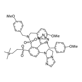 COc1ccc(CN(Cc2ccc(OC)cc2)S(=O)(=O)c2c(S(=O)(=O)CC[Si](C)(C)C)ccc(N3CCn4ccnc43)c2-c2nnnn2Cc2ccc(OC)cc2)cc1